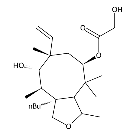 C=C[C@]1(C)C[C@@H](OC(=O)CO)C(C)(C)C2C(C)OC[C@@]2(CCCC)[C@@H](C)[C@@H]1O